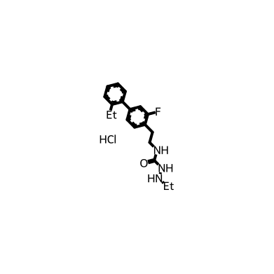 CCNNC(=O)NCCc1ccc(-c2ccccc2CC)cc1F.Cl